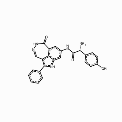 N[C@@H](C(=O)Nc1cc2c3c(c(-c4ccccc4)[nH]c3c1)C=NNC2=O)c1ccc(O)cc1